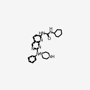 O=C(Nc1ccc2cnc(N(c3ccccc3)N3CCNCC3)nc2n1)NC1CCCCC1